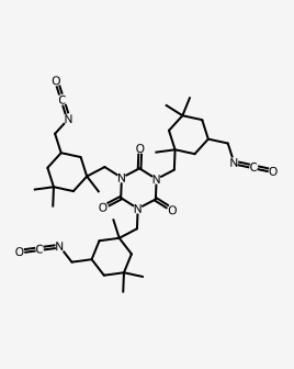 CC1(C)CC(CN=C=O)CC(C)(Cn2c(=O)n(CC3(C)CC(CN=C=O)CC(C)(C)C3)c(=O)n(CC3(C)CC(CN=C=O)CC(C)(C)C3)c2=O)C1